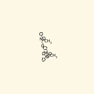 COC(=O)[C@H](Cc1ccc(OCCc2nc(-c3ccccc3)oc2C)cc1)n1cccc1C(=O)c1ccccc1